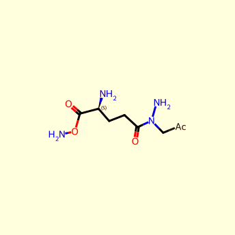 CC(=O)CN(N)C(=O)CC[C@H](N)C(=O)ON